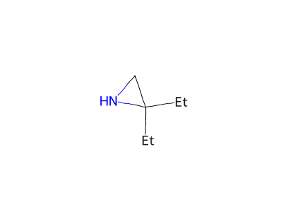 CCC1(CC)CN1